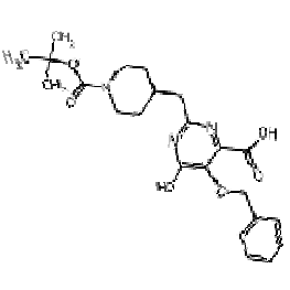 CC(C)(C)OC(=O)N1CCC(Cc2nc(O)c(OCc3ccccc3)c(C(=O)O)n2)CC1